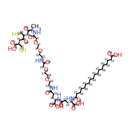 C[C@H](NC(=O)COCCOCCNC(=O)COCCOCCNC(=O)CC[C@H](NC(=O)CC[C@H](NC(=O)CCCCCCCCCCCCCCCCC(=O)O)C(=O)O)C(=O)O)C(=O)C[C@@H](CS)C(=O)C[C@@H](CS)C(=O)O